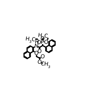 CCOP(=O)(OCC)C(C(=O)Nc1ccc2ccccc2c1OCC(=O)OC)c1cccc2ccccc12